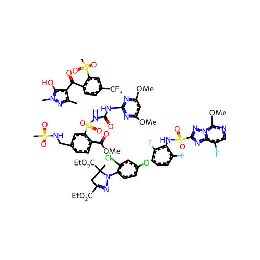 CCOC(=O)C1=NN(c2ccc(Cl)cc2Cl)C(C)(C(=O)OCC)C1.COC(=O)c1ccc(CNS(C)(=O)=O)cc1S(=O)(=O)NC(=O)Nc1nc(OC)cc(OC)n1.COc1ncc(F)c2nc(S(=O)(=O)Nc3c(F)cccc3F)nn12.Cc1nn(C)c(O)c1C(=O)c1ccc(C(F)(F)F)cc1S(C)(=O)=O